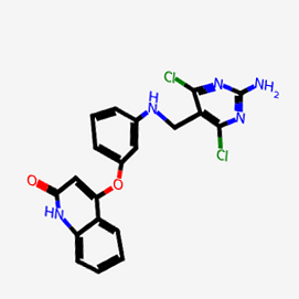 Nc1nc(Cl)c(CNc2cccc(Oc3cc(=O)[nH]c4ccccc34)c2)c(Cl)n1